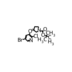 CC(C)(C)OC(=O)N1CC[C@@H](Oc2cc(Br)cnc2Cl)C1